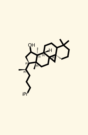 CC(C)CCC[C@@H](C)[C@H]1CC(O)[C@@]2(C)[C@@H]3CCC4C(C)(C)CCC[C@@]45CC35CC[C@]12C